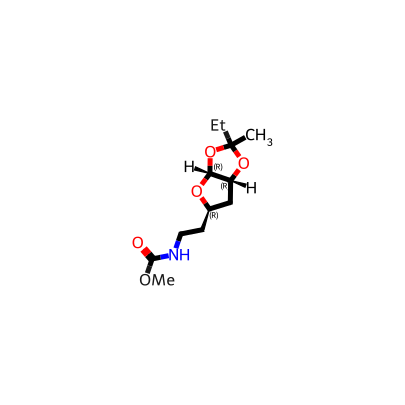 CCC1(C)O[C@H]2O[C@H](CCNC(=O)OC)C[C@H]2O1